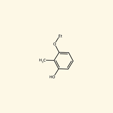 CCOc1cccc(O)c1C